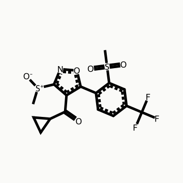 C[S+]([O-])c1noc(-c2ccc(C(F)(F)F)cc2S(C)(=O)=O)c1C(=O)C1CC1